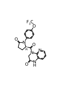 O=C1CN(C(=O)[C@H]2CCC(=O)N2c2ccc(OC(F)(F)F)cc2)c2ncccc2N1